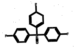 O=[SH](C1=CCC(F)C=C1)(c1ccc(F)cc1)c1ccc(F)cc1